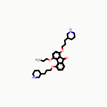 CCCOc1ccc(OCCCC2CCCNC2)c2c1-c1c(OCCCC3CCCNC3)cccc1C2=O